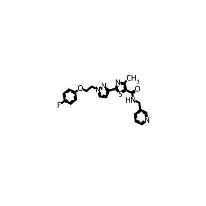 Cc1nc(-c2ccn(CCOc3ccc(F)cc3)n2)sc1C(=O)NCc1cccnc1